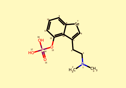 CN(C)CCc1c[se]c2cccc(OP(=O)(O)O)c12